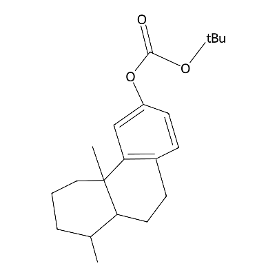 CC1CCCC2(C)c3cc(OC(=O)OC(C)(C)C)ccc3CCC12